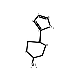 NC1CCC(c2cc[c]o2)CC1